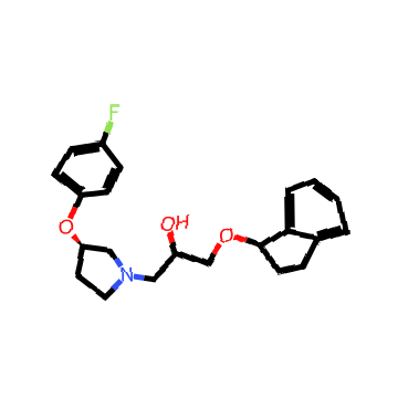 OC(COC1CCc2ccccc21)CN1CC[C@@H](Oc2ccc(F)cc2)C1